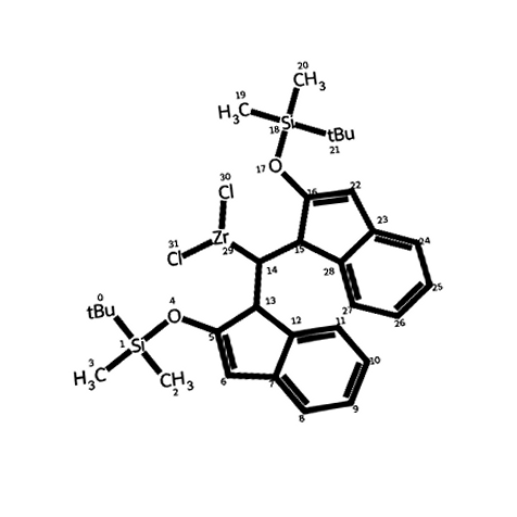 CC(C)(C)[Si](C)(C)OC1=Cc2ccccc2C1[CH](C1C(O[Si](C)(C)C(C)(C)C)=Cc2ccccc21)[Zr]([Cl])[Cl]